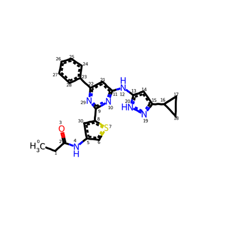 CCC(=O)Nc1csc(-c2nc(Nc3cc(C4CC4)n[nH]3)cc(-c3ccccc3)n2)c1